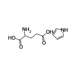 NC(CCC(=O)O)C(=O)O.c1cc[nH]c1